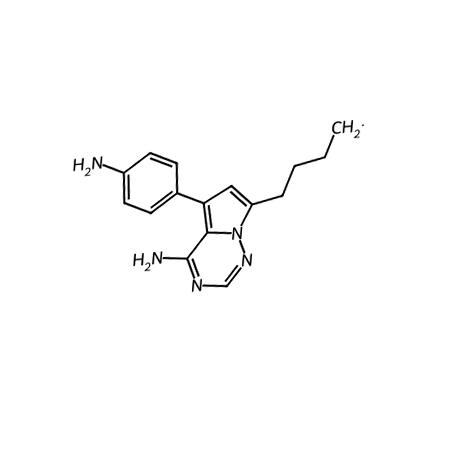 [CH2]CCCc1cc(-c2ccc(N)cc2)c2c(N)ncnn12